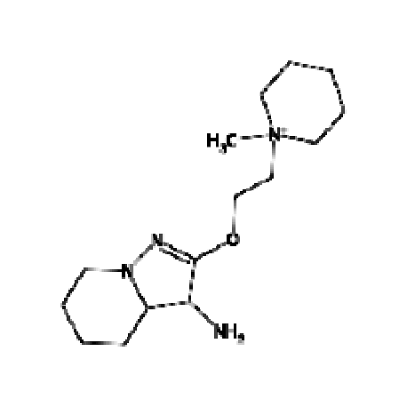 C[N+]1(CCOC2=NN3CCCCC3C2N)CCCCC1